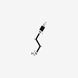 [C-]#[N+]CCN